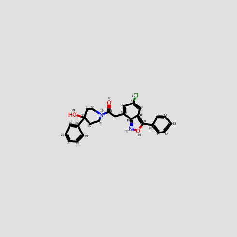 O=C(Cc1cc(Cl)cc2c(-c3ccccc3)onc12)N1CCC(O)(c2ccccc2)CC1